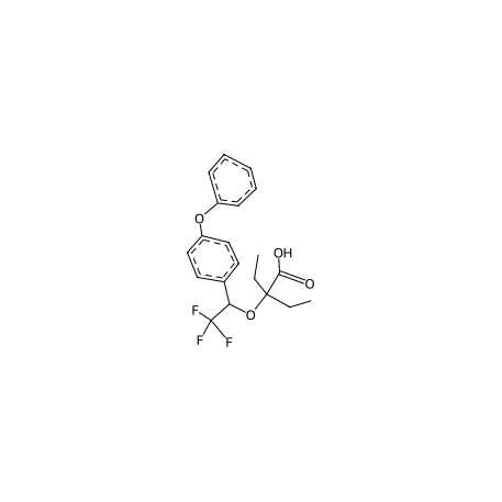 CCC(CC)(OC(c1ccc(Oc2ccccc2)cc1)C(F)(F)F)C(=O)O